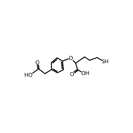 O=C(O)Cc1ccc(OC(CCCS)C(=O)O)cc1